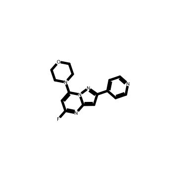 Fc1cc(N2CCOCC2)n2nc(-c3ccncc3)cc2n1